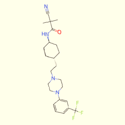 CC(C)(C#N)C(=O)N[C@H]1CC[C@H](CCN2CCN(c3cccc(C(F)(F)F)c3)CC2)CC1